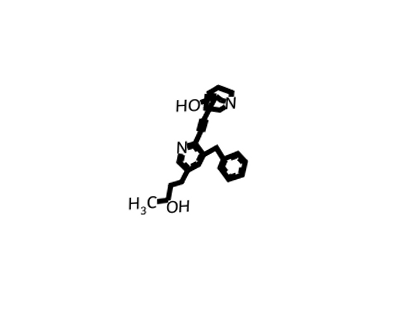 CC(O)CCc1cnc(C#CC2(O)CN3CCC2CC3)c(Cc2ccccc2)c1